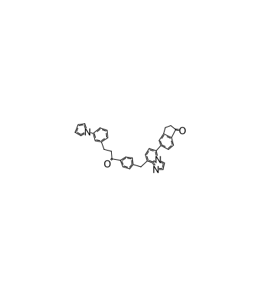 O=C(CCc1cccc(-n2cccc2)c1)c1ccc(Cc2ccc(-c3ccc4c(c3)CCC4=O)n3ccnc23)cc1